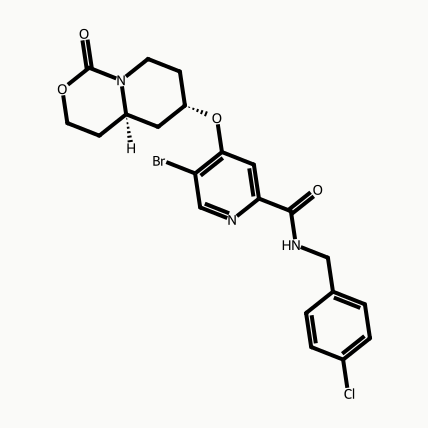 O=C(NCc1ccc(Cl)cc1)c1cc(O[C@H]2CCN3C(=O)OCC[C@@H]3C2)c(Br)cn1